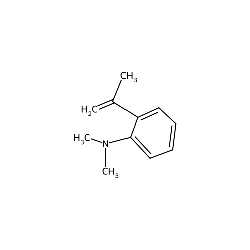 C=C(C)c1ccccc1N(C)C